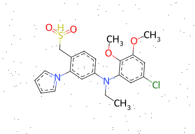 CCN(c1ccc(C[SH](=O)=O)c(-n2cccc2)c1)c1cc(Cl)cc(OC)c1OC